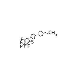 CCCC1CC=C(c2ccc3c(c2)sc2c(F)c(C(F)(F)F)c(F)cc23)CC1